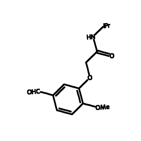 COc1ccc(C=O)cc1OCC(=O)NC(C)C